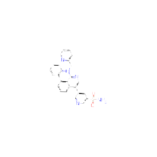 NS(=O)(=O)c1cncc(-c2cnc(NCc3ccccn3)c3c(-c4ccccc4)cccc23)c1